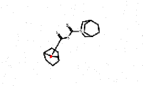 S=C(SC(=S)N1CC2CCC(CC2)C1)N1CC2CCC(CC2)C1